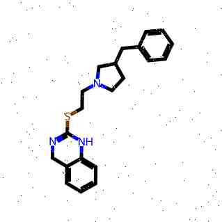 c1ccc(CC2CCN(CCSC3=NCc4ccccc4N3)C2)cc1